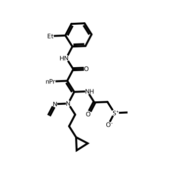 C=NN(CCC1CC1)/C(NC(=O)C[S+](C)[O-])=C(\CCC)C(=O)Nc1ccccc1CC